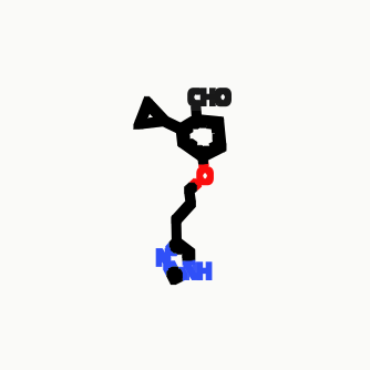 O=Cc1ccc(OCCCc2c[nH]cn2)cc1C1CC1